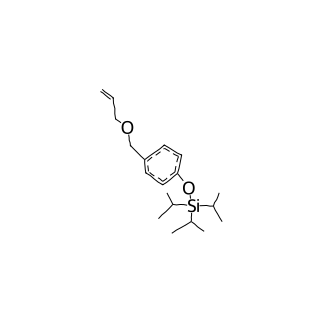 C=CCOCc1ccc(O[Si](C(C)C)(C(C)C)C(C)C)cc1